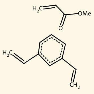 C=CC(=O)OC.C=Cc1cccc(C=C)c1